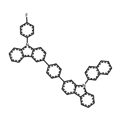 Fc1ccc(-n2c3ccccc3c3cc(-c4ccc(-c5ccc6c7ccccc7n(-c7ccc8ccccc8c7)c6c5)cc4)ccc32)cc1